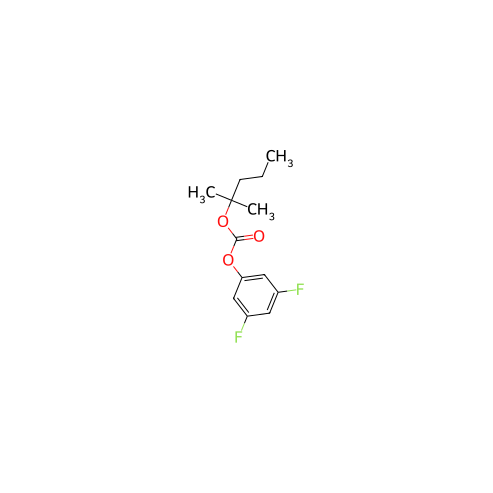 CCCC(C)(C)OC(=O)Oc1cc(F)cc(F)c1